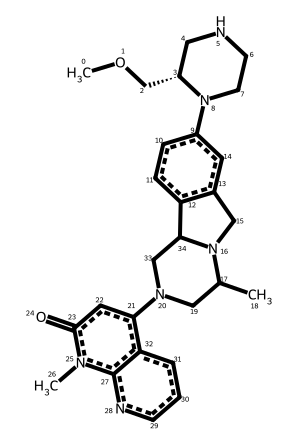 COC[C@@H]1CNCCN1c1ccc2c(c1)CN1C(C)CN(c3cc(=O)n(C)c4ncccc34)CC21